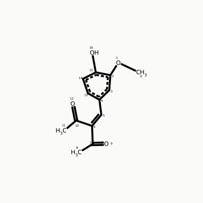 COc1cc(C=C(C(C)=O)C(C)=O)ccc1O